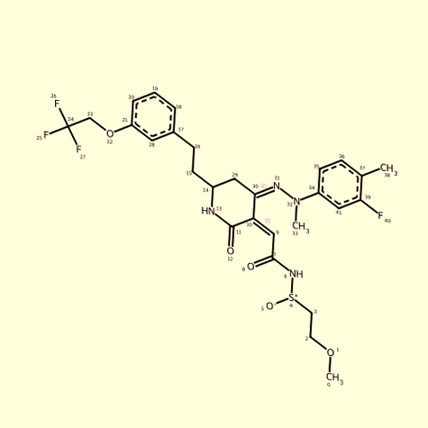 COCC[S+]([O-])NC(=O)/C=C1\C(=O)NC(CCc2cccc(OCC(F)(F)F)c2)C\C1=N\N(C)c1ccc(C)c(F)c1